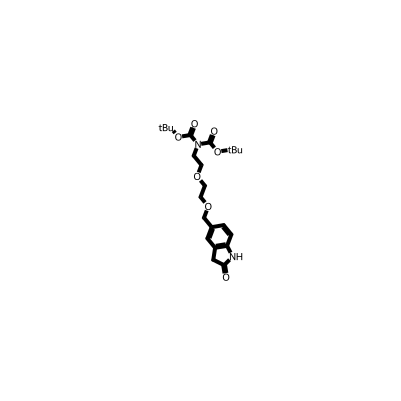 CC(C)(C)OC(=O)N(CCOCCOCc1ccc2c(c1)CC(=O)N2)C(=O)OC(C)(C)C